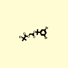 CCC(C)(C)C(=O)OCC(=O)OC(C)(C)c1cc(Br)cc(Br)c1